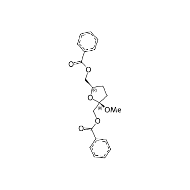 CO[C@]1(COC(=O)c2ccccc2)CC[C@H](COC(=O)c2ccccc2)O1